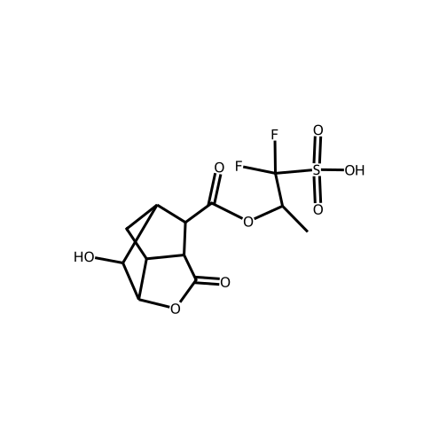 CC(OC(=O)C1C2CC3C(OC(=O)C31)C2O)C(F)(F)S(=O)(=O)O